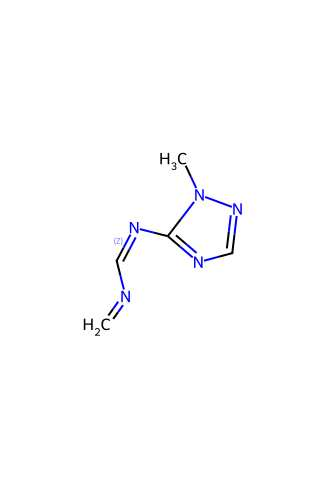 C=N/C=N\c1ncnn1C